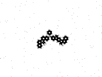 CC1(C)c2cc(N(c3ccccc3)c3ccc4c5c(ccc4c3)-c3ccc4ccccc4c3C5(C)C)ccc2-c2cc3c(cc21)-c1c(ccc2ccccc12)C3(C)C